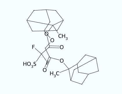 CC1(OC(=O)COC23CC4CC(C2)C(C)(OC(=O)C(F)(F)S(=O)(=O)O)C(C4)C3)C2CC3CC(C2)CC1C3